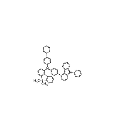 CC1(C)c2ccccc2-c2c(N(c3ccc(-c4ccccc4)cc3)c3ccc(-c4cccc5c4c4ccccc4n5-c4ccccc4)cc3)cccc21